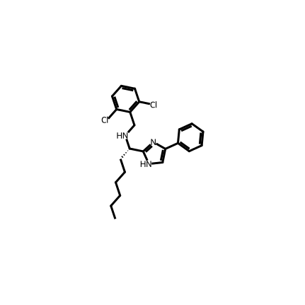 CCCCCC[C@H](NCc1c(Cl)cccc1Cl)c1nc(-c2ccccc2)c[nH]1